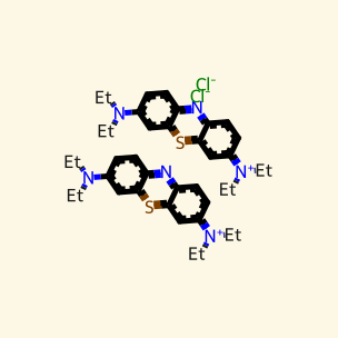 CCN(CC)c1ccc2nc3ccc(=[N+](CC)CC)cc-3sc2c1.CCN(CC)c1ccc2nc3ccc(=[N+](CC)CC)cc-3sc2c1.[Cl-].[Cl-]